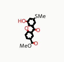 COC(=O)c1ccc2oc3c(O)cc(SC)cc3c(=O)c2c1